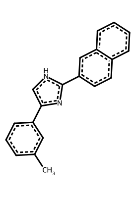 Cc1cccc(-c2c[nH]c(-c3ccc4ccccc4c3)n2)c1